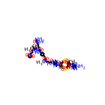 CC(C)[C@H](NC(=O)CCN1C(=O)C=CC1=O)C(=O)N[C@@H](CCCCNC(N)=O)C(=O)Nc1ccc(COC(=O)N(C)CCCC(=O)Nc2ncnc3c2ncn3[C@@H]2O[C@@H]3CO[P@@](=O)(S)O[C@H]4[C@@H](C)[C@H](n5cnc6c(N)ncnc65)O[C@@H]4CO[P@@](=O)(S)O[C@H]3[C@H]2F)cc1